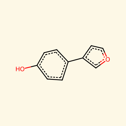 Oc1ccc(-c2ccoc2)cc1